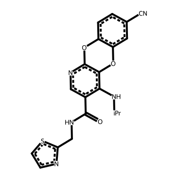 CC(C)Nc1c(C(=O)NCc2nccs2)cnc2c1Oc1cc(C#N)ccc1O2